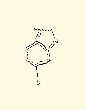 [O]c1ccc2[nH]cnc2n1